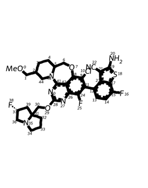 COCC1CCC2COc3c(Cl)c(-c4ccc(F)c5sc(N)c(C#N)c45)c(F)c4nc(OCC56CCCN5C[C@H](F)C6)nc(c34)N2C1